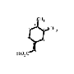 CCOC(=O)/C=C1\CCC(C)C(C)C1